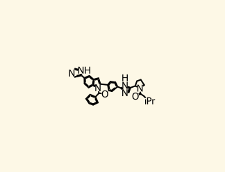 CC(C)CC(=O)N1CCCC1c1cnc(-c2ccc3c(c2)OC(c2ccccc2)n2c-3cc3cc(-c4cnc[nH]4)ccc32)[nH]1